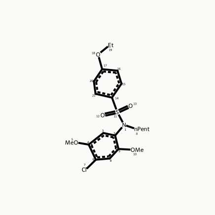 CCCCCN(c1cc(OC)c(Cl)cc1OC)S(=O)(=O)c1ccc(OCC)cc1